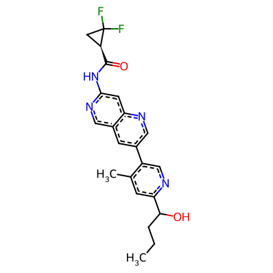 CCCC(O)c1cc(C)c(-c2cnc3cc(NC(=O)[C@H]4CC4(F)F)ncc3c2)cn1